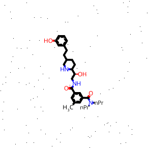 CCCN(CCC)C(=O)c1cc(C)cc(C(=O)NC[C@H](O)C2CCC(CCc3cccc(O)c3)CN2)c1